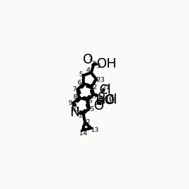 Cl.O=C(O)C1Cc2cc3cnc(C4CC4)cc3c(S(=O)(=O)Cl)c2C1